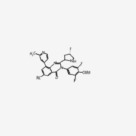 COc1c(F)cc(-n2c(C3C[C@H](F)CN3)nc3c(-c4ccnc(C)c4)cc(C#N)cc3c2=O)cc1F